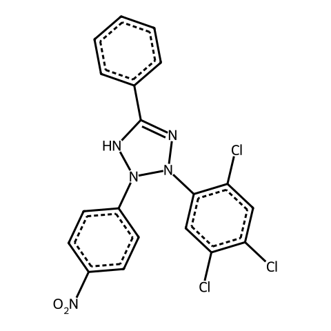 O=[N+]([O-])c1ccc(N2NC(c3ccccc3)=NN2c2cc(Cl)c(Cl)cc2Cl)cc1